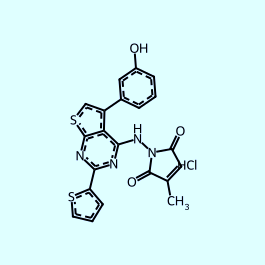 CC1=CC(=O)N(Nc2nc(-c3cccs3)nc3scc(-c4cccc(O)c4)c23)C1=O.Cl